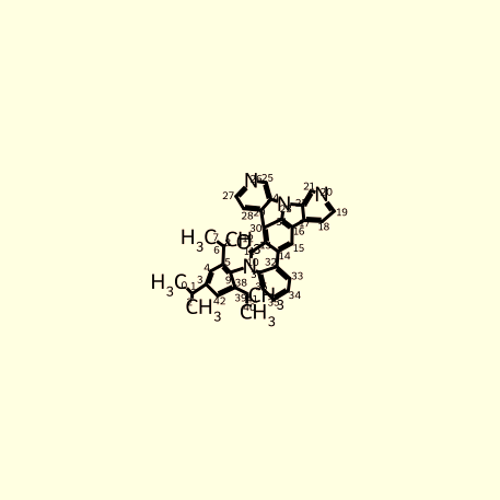 CC(C)c1cc(C(C)C)c(-n2c(=O)c3c(cc4c5ccncc5n5c6cnccc6c3c45)c3ccccc32)c(C(C)C)c1